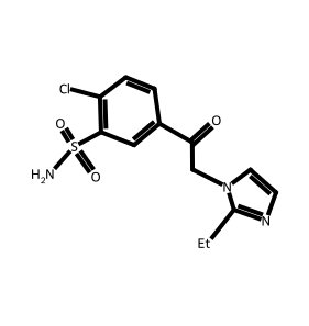 CCc1nccn1CC(=O)c1ccc(Cl)c(S(N)(=O)=O)c1